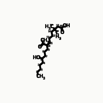 CCCCCC(O)CCCC(CCCCC(C)(C)CC(=O)O)C(C)=O